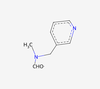 CN([C]=O)Cc1cccnc1